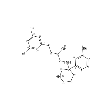 CC(C)(C)c1cccc(C2(NCC(O)CCc3cc(F)cc(F)c3)CCCNC2)c1